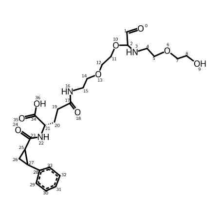 O=CC(NCCOCCO)OCCOCCNC(=O)CC[C@H](NC(=O)C1CC1c1ccccc1)C(=O)O